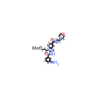 COCCCn1c(NC(=O)c2cccc(N)c2)nc2cc(C(=O)NCCN3CCOCC3)cnc21